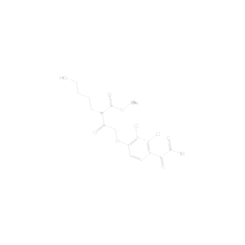 C=C(C(=O)CC)c1ccc(OCC(=O)N(CCCCO)C(=O)OC(C)(C)C)c(Cl)c1Cl